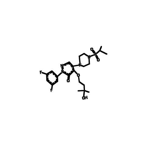 CC(C)S(=O)(=O)N1CCN(c2cnn(-c3cc(F)cc(F)c3)c(=O)c2OCCC(C)(C)O)CC1